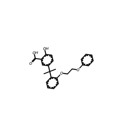 CC(C)(c1ccc(O)c(C(=O)O)c1)c1ccccc1OCCOc1ccccc1